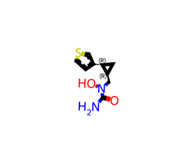 NC(=O)N(O)C[C@@H]1C[C@H]1c1ccsc1